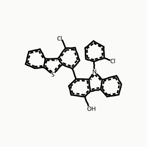 Oc1ccc(-c2ccc(Cl)c3c2sc2ccccc23)c2c1c1ccccc1n2-c1ccccc1Cl